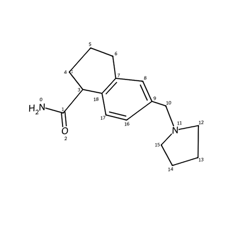 NC(=O)C1[C]CCc2cc(CN3CCCC3)ccc21